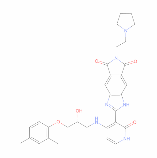 Cc1ccc(OC[C@H](O)CNc2cc[nH]c(=O)c2-c2nc3cc4c(cc3[nH]2)C(=O)N(CCN2CCCC2)C4=O)c(C)c1